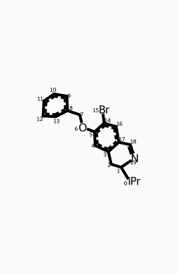 CC(C)C1Cc2cc(OCc3ccccc3)c(Br)cc2C=N1